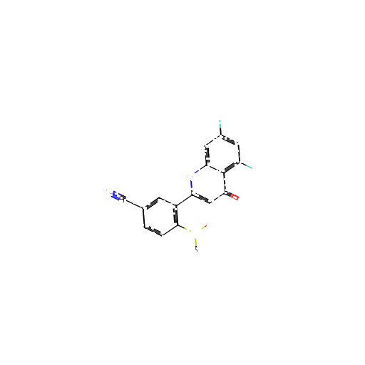 C[S+]([O-])c1ccc(C#N)cc1-c1cc(=O)c2c(F)cc(F)cc2[nH]1